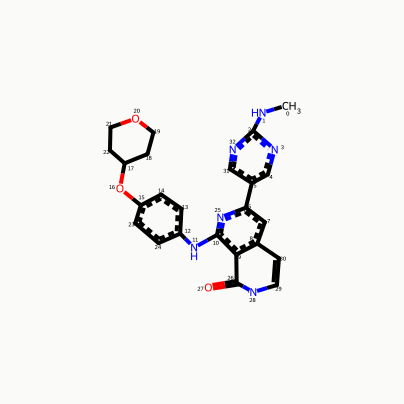 CNc1ncc(-c2cc3c(c(Nc4ccc(OC5CCOCC5)cc4)n2)C(=O)[N]C=C3)cn1